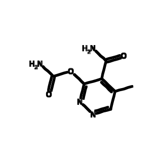 Cc1cnnc(OC(N)=O)c1C(N)=O